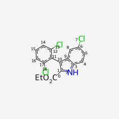 CCOC(=O)c1[nH]c2ccc(Cl)cc2c1-c1c(Cl)cccc1Cl